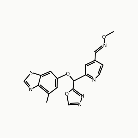 CO/N=C/c1ccnc(C(Oc2cc(C)c3ncsc3c2)c2nnco2)c1